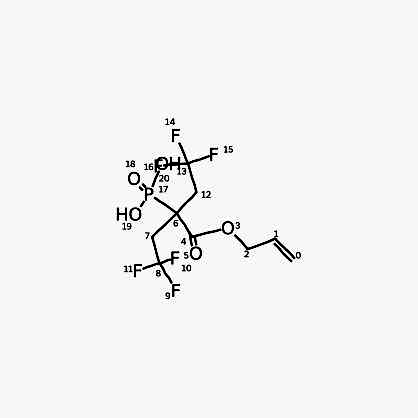 C=CCOC(=O)C(CC(F)(F)F)(CC(F)(F)F)P(=O)(O)O